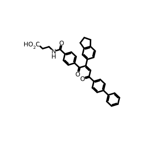 O=C(O)CCNC(=O)c1ccc(C(=O)/C(=C\C(=O)c2ccc(-c3ccccc3)cc2)c2ccc3c(c2)CCC3)cc1